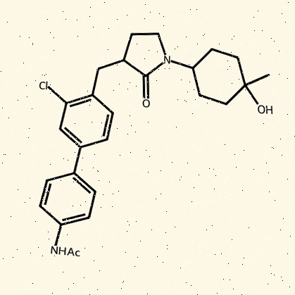 CC(=O)Nc1ccc(-c2ccc(CC3CCN(C4CCC(C)(O)CC4)C3=O)c(Cl)c2)cc1